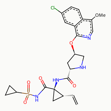 C=C[C@@H]1C[C@]1(NC(=O)[C@@H]1C[C@@H](Oc2ncc(OC)c3ccc(Cl)cc23)CN1)C(=O)NS(=O)(=O)C1CC1